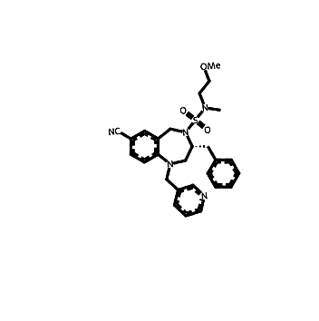 COCCN(C)S(=O)(=O)N1Cc2cc(C#N)ccc2N(Cc2cccnc2)C[C@H]1Cc1ccccc1